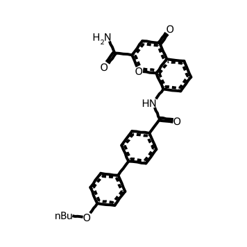 CCCCOc1ccc(-c2ccc(C(=O)Nc3cccc4c(=O)cc(C(N)=O)oc34)cc2)cc1